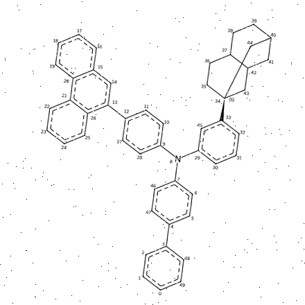 c1ccc(-c2ccc(N(c3ccc(-c4cc5ccccc5c5ccccc45)cc3)c3cccc([C@]45CCC6CCC(CC6C4)C5)c3)cc2)cc1